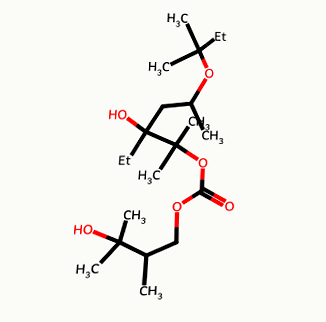 CCC(C)(C)OC(C)CC(O)(CC)C(C)(C)OC(=O)OCC(C)C(C)(C)O